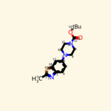 Cc1nc2ccc(N3CCN(C(=O)OC(C)(C)C)CC3)cc2s1